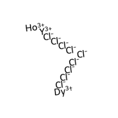 [Cl-].[Cl-].[Cl-].[Cl-].[Cl-].[Cl-].[Cl-].[Cl-].[Cl-].[Dy+3].[Ho+3].[Y+3]